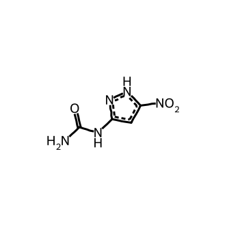 NC(=O)Nc1cc([N+](=O)[O-])[nH]n1